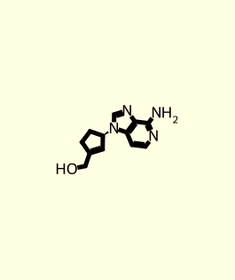 Nc1nccc2c1ncn2[C@@H]1C=C(CO)CC1